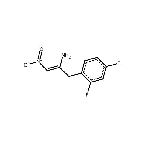 N/C(=C\[N+](=O)[O-])Cc1ccc(F)cc1F